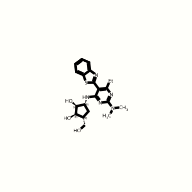 CCc1nc(N(C)C)nc(N[C@@H]2C[C@H](CO)[C@@H](O)[C@H]2O)c1-c1nc2ccccc2s1